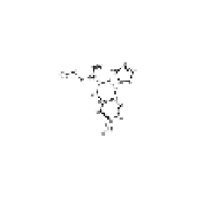 CCCN(CCCl)C1CCc2ccc(O)cc2C1.c1ccsc1